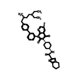 CCN(CC)CCN(C)Cc1ccc(-c2cccc(-n3c(=O)n([C@H]4CC[C@@H](NC(=O)c5cn6c(n5)CCCC6)CC4)c(=O)c4cc(F)cnc43)c2)cc1